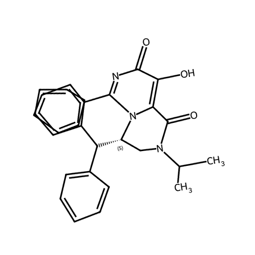 CC(C)N1C[C@H](C(c2ccccc2)c2ccccc2)n2c(-c3ccccc3)nc(=O)c(O)c2C1=O